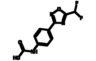 O=C(O)Nc1ccc(-c2noc(C(F)F)n2)cc1